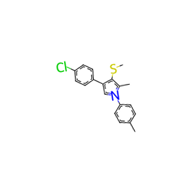 CSc1c(-c2ccc(Cl)cc2)cn(-c2ccc(C)cc2)c1C